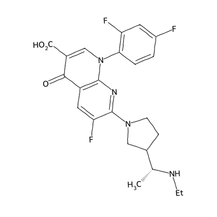 CCN[C@H](C)C1CCN(c2nc3c(cc2F)c(=O)c(C(=O)O)cn3-c2ccc(F)cc2F)C1